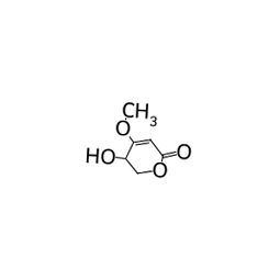 COC1=CC(=O)OCC1O